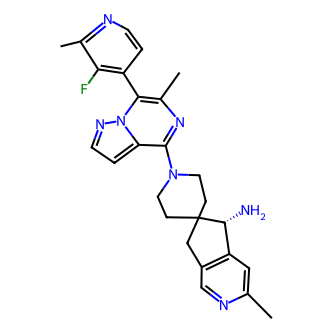 Cc1cc2c(cn1)CC1(CCN(c3nc(C)c(-c4ccnc(C)c4F)n4nccc34)CC1)[C@@H]2N